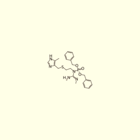 CN=C(N)N(CCSCc1nc[nH]c1C)P(=O)(OCc1ccccc1)OCc1ccccc1